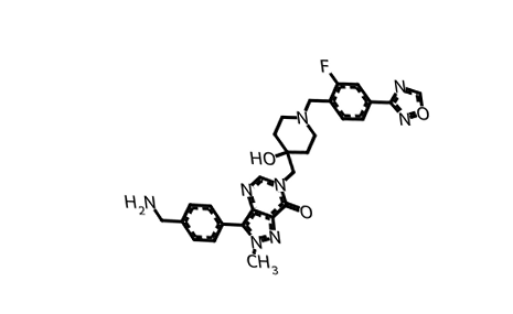 Cn1nc2c(=O)n(CC3(O)CCN(Cc4ccc(-c5ncon5)cc4F)CC3)cnc2c1-c1ccc(CN)cc1